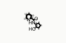 O=C(N[C@H]1CCC[C@@H]1O)c1ccccn1